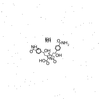 NC(=O)c1ccc([C@@H](O)CC2=C(C(=O)O)N3C(=O)CC3(C[C@H](O)c3ccc(C(N)=O)cc3)S2)cc1.[KH].[KH]